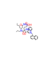 CCCC[C@@H](CC(N)=O)N(CCC)C(=O)[C@](N)(CCCC(=O)O)C(=O)c1cn(Cc2cccc3ccccc23)c2ccccc12